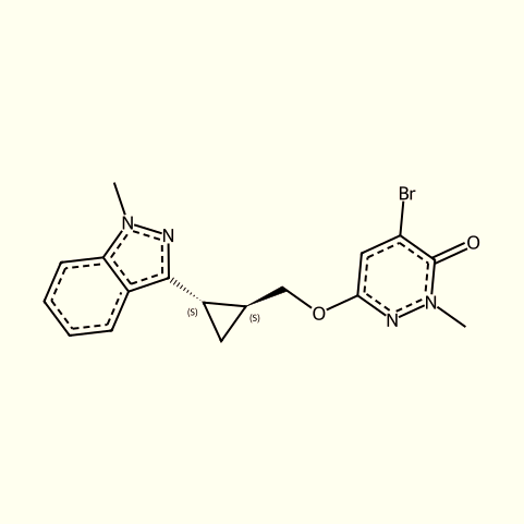 Cn1nc(OC[C@H]2C[C@@H]2c2nn(C)c3ccccc23)cc(Br)c1=O